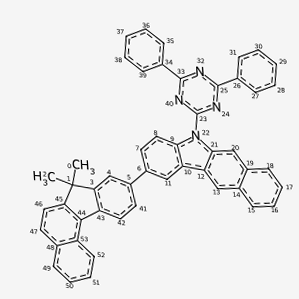 CC1(C)c2cc(-c3ccc4c(c3)c3cc5ccccc5cc3n4-c3nc(-c4ccccc4)nc(-c4ccccc4)n3)ccc2-c2c1ccc1ccccc21